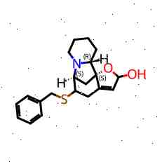 OC1C=C2CC(SCc3ccccc3)[C@@H]3C[C@@]2(O1)[C@H]1CCCCN31